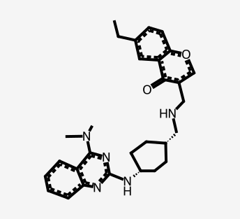 CCc1ccc2occ(CNC[C@H]3CC[C@@H](Nc4nc(N(C)C)c5ccccc5n4)CC3)c(=O)c2c1